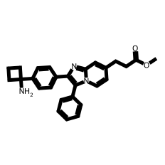 COC(=O)CCc1ccn2c(-c3ccccc3)c(-c3ccc(C4(N)CCC4)cc3)nc2c1